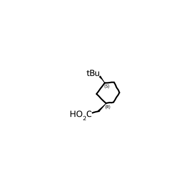 CC(C)(C)[C@H]1CCC[C@@H](CC(=O)O)C1